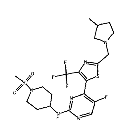 CC1CCN(Cc2nc(C(F)(F)F)c(-c3nc(NC4CCN(S(C)(=O)=O)CC4)ncc3F)s2)C1